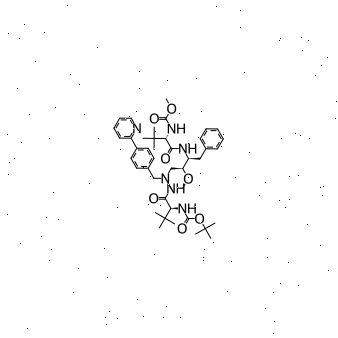 COC(=O)N[C@H](C(=O)N[C@@H](Cc1ccccc1)[C@H](CN(Cc1ccc(-c2ccccn2)cc1)NC(=O)[C@@H](NC(=O)OC(C)(C)C)C(C)(C)C)OC)C(C)(C)C